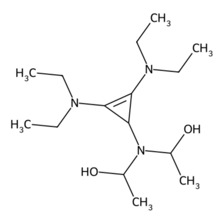 CCN(CC)C1=C(N(CC)CC)C1N(C(C)O)C(C)O